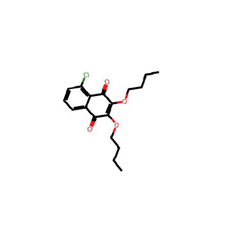 CCCCOC1=C(OCCCC)C(=O)c2c(Cl)cccc2C1=O